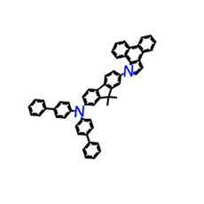 CC1(C)c2cc(N(c3ccc(-c4ccccc4)cc3)c3ccc(-c4ccccc4)cc3)ccc2-c2ccc(-n3ccc4c5ccccc5c5ccccc5c43)cc21